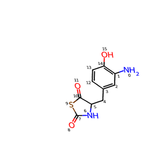 Nc1cc(CC2NC(=O)SC2=O)ccc1O